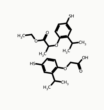 CC(C)c1cc(S)ccc1OCC(=O)O.CCOC(=O)C(C)Oc1ccc(S)cc1C(C)C